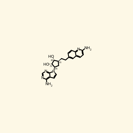 Nc1ccc2cc(CC[C@H]3C[C@@H](n4ccc5c(N)ncnc54)[C@H](O)[C@@H]3O)ccc2n1